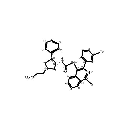 COCCN1C[C@@H](NC(=O)Nc2c(-c3cccc(F)c3)nc(C)c3ccccc23)[C@H](c2ccccc2)C1